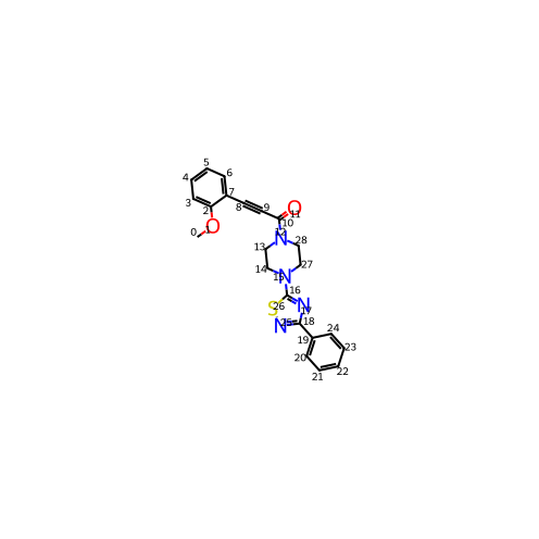 COc1ccccc1C#CC(=O)N1CCN(c2nc(-c3ccccc3)ns2)CC1